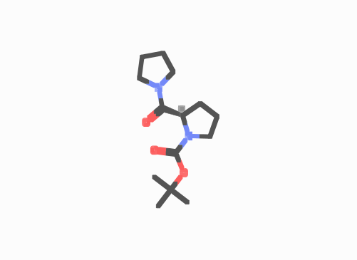 CC(C)(C)OC(=O)N1CCC[C@@H]1C(=O)N1CCCC1